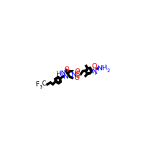 Cc1cc(N(C)C(N)=O)cc(C)c1CCS(=O)(=O)N1CCC2(CC1)N=C(c1ccc(CCCC(F)(F)F)cc1)NC2=O